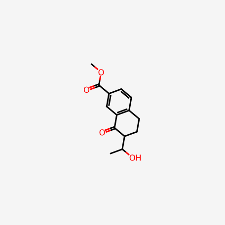 COC(=O)c1ccc2c(c1)C(=O)C(C(C)O)CC2